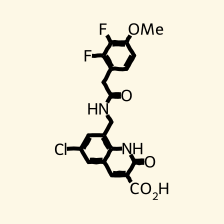 COc1ccc(CC(=O)NCc2cc(Cl)cc3cc(C(=O)O)c(=O)[nH]c23)c(F)c1F